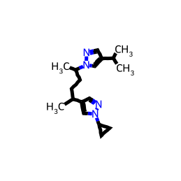 CC(C)c1cnn(C(C)CCC(C)c2cnn(C3CC3)c2)c1